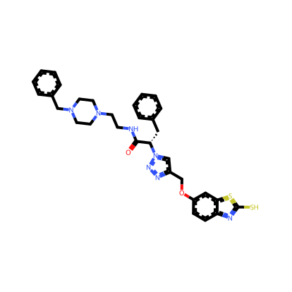 O=C(NCCN1CCN(Cc2ccccc2)CC1)[C@H](Cc1ccccc1)n1cc(COc2ccc3nc(S)sc3c2)nn1